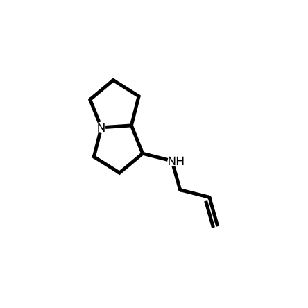 C=CCNC1CCN2CCCC12